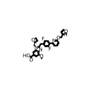 COc1cc(C(=O)O)cc2c1nc(Cc1cc(F)c(-c3cccc(OCc4ccon4)n3)cc1F)n2C[C@@H]1CCO1